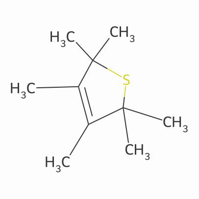 CC1=C(C)C(C)(C)SC1(C)C